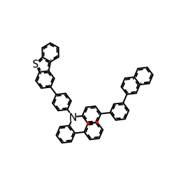 c1ccc(-c2ccccc2N(c2ccc(-c3cccc(-c4ccc5ccccc5c4)c3)cc2)c2ccc(-c3ccc4sc5ccccc5c4c3)cc2)cc1